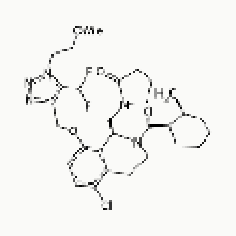 COCCn1nnc(COc2ccc(Cl)c3c2[C@@H](CN2CCCC2=O)N(C(=O)[C@@H]2CCCC[C@@H]2C)CC3)c1C(F)F